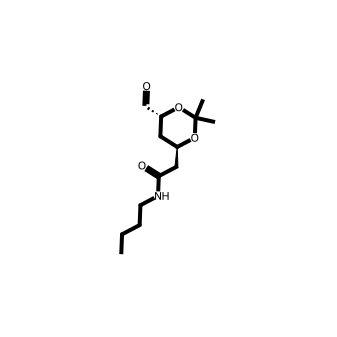 CCCCNC(=O)C[C@H]1C[C@H](C=O)OC(C)(C)O1